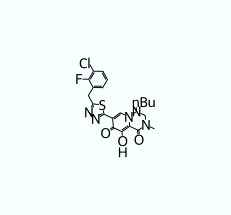 CCCCN1CN(C)C(=O)c2c(O)c(=O)c(-c3nnc(Cc4cccc(Cl)c4F)s3)cn21